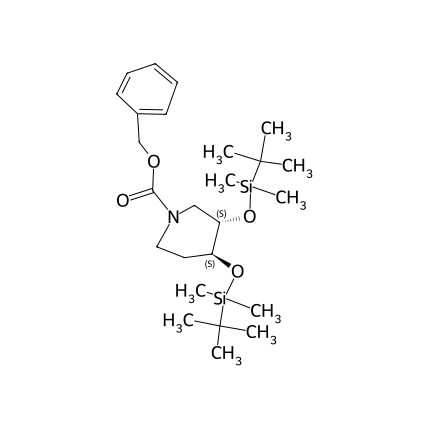 CC(C)(C)[Si](C)(C)O[C@H]1CCN(C(=O)OCc2ccccc2)C[C@@H]1O[Si](C)(C)C(C)(C)C